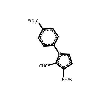 CCOC(=O)c1ccc(-n2ccc(NC(C)=O)c2C=O)cc1